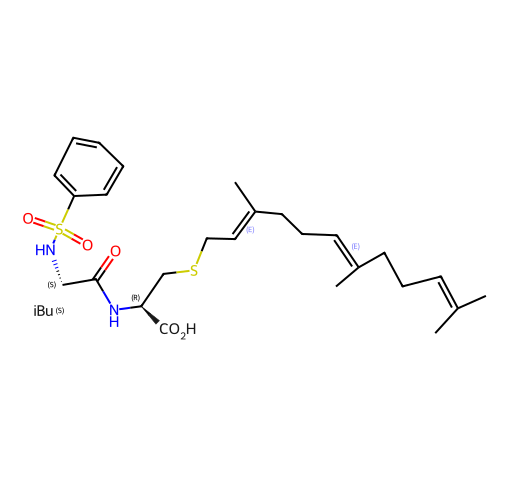 CC[C@H](C)[C@H](NS(=O)(=O)c1ccccc1)C(=O)N[C@@H](CSC/C=C(\C)CC/C=C(\C)CCC=C(C)C)C(=O)O